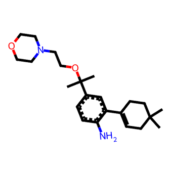 CC1(C)CC=C(c2cc(C(C)(C)OCCN3CCOCC3)ccc2N)CC1